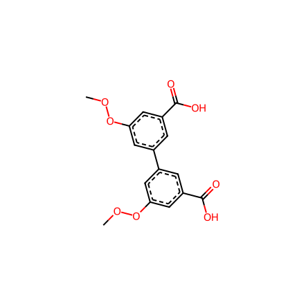 COOc1cc(C(=O)O)cc(-c2cc(OOC)cc(C(=O)O)c2)c1